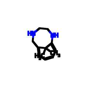 CC1(C)C2=CC=CC=C1NCCNC2